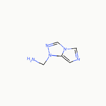 NCn1ncn2cncc12